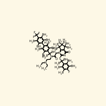 Bc1c(B)c(C(B)(B)Sc2nc(=O)c3c(n2CC(=O)N(CCN(CC)CC)C(B)(B)c2c(B)c(B)c(-c4c(B)c(B)c(C(F)(F)F)c(B)c4B)c(B)c2B)C(B)(B)C(B)(B)C3(B)B)c(B)c(B)c1F